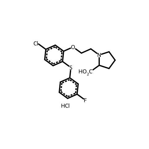 Cl.O=C(O)C1CCCN1CCOc1cc(Cl)ccc1Sc1cccc(F)c1